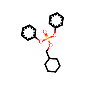 O=P(OCC1CCCCC1)(Oc1ccccc1)Oc1ccccc1